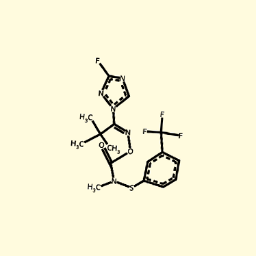 CN(Sc1cccc(C(F)(F)F)c1)C(=O)ON=C(n1cnc(F)n1)C(C)(C)C